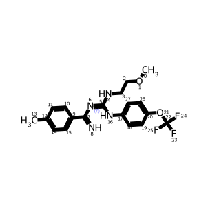 COCCN/C(=N/C(=N)c1ccc(C)cc1)Nc1ccc(OC(F)(F)F)cc1